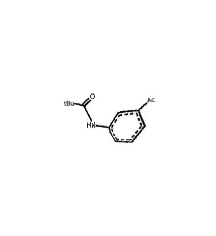 CC(=O)c1cccc(NC(=O)C(C)(C)C)c1